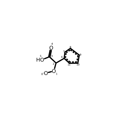 [O]OC(C(=O)O)c1ccccc1